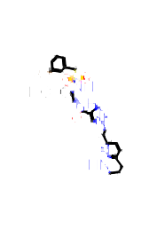 O=C(NC[C@H](NS(=O)(=O)Cc1cccc(Br)c1)C(=O)O)c1cnn(CCc2ccc3c(n2)NCCC3)c1